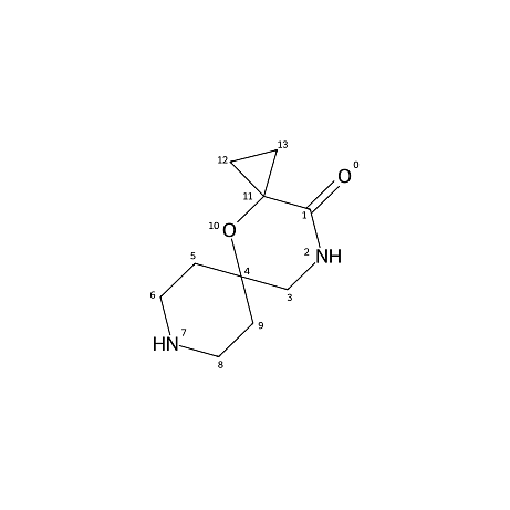 O=C1NCC2(CCNCC2)OC12CC2